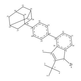 CC1=C(C(C)(C)C)[CH]([Zr])c2cccc(-c3ccc(C45CC6CC(CC(C6)C4)C5)cc3)c21